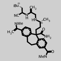 C=C(CN[C@H](C)CCC1(C(N)=O)c2ccc(C(=C)NC)cc2CCc2cc(C(=O)NC)ccc21)NC(C#N)C[C@@H](C)CC